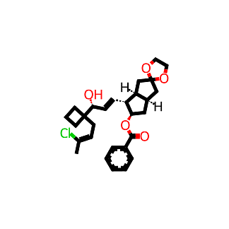 C/C(Cl)=C/CC1([C@H](O)/C=C/[C@@H]2[C@H]3CC4(C[C@H]3C[C@H]2OC(=O)c2ccccc2)OCCO4)CCC1